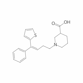 O=C(O)C1CCCN(CCC=C(c2ccccc2)c2cccs2)C1